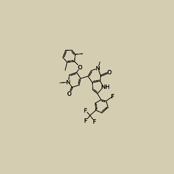 Cc1cccc(C)c1Oc1cn(C)c(=O)cc1-c1cn(C)c(=O)c2[nH]c(-c3cc(C(F)(F)F)ccc3F)cc12